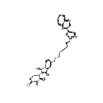 O=C1CCC(N2C(=O)c3ccc(CCCCCCCn4cc(-c5cnc6ccccc6n5)cn4)cc3C2=O)C(=O)N1